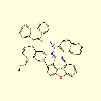 C=C/C=C\C=C/Cc1ccc(-c2ccc3oc4ccccc4c3c2/C(N=C)=N/C(=N\Cc2cc3ccccc3c3ccccc23)c2ccc3ccccc3c2)cc1